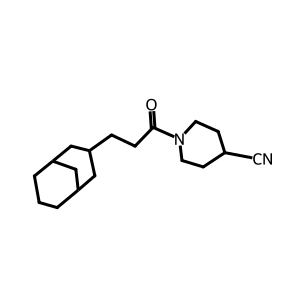 N#CC1CCN(C(=O)CCC2CC3CCCC(C3)C2)CC1